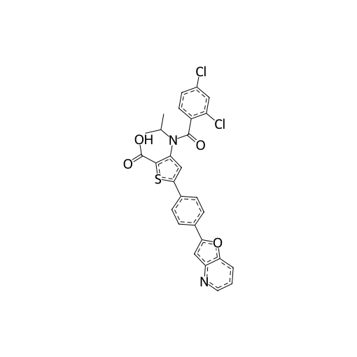 CC(C)N(C(=O)c1ccc(Cl)cc1Cl)c1cc(-c2ccc(-c3cc4ncccc4o3)cc2)sc1C(=O)O